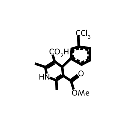 COC(=O)C1=C(C)NC(C)=C(C(=O)O)C1c1cccc(C(Cl)(Cl)Cl)c1